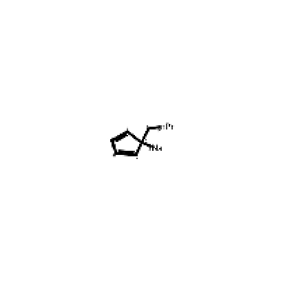 CCCC[C]1([Na])C=CC=C1